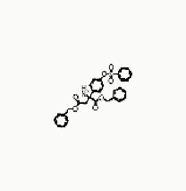 NC(CC(=O)OCc1ccccc1)(C(=O)OCc1ccccc1)c1ccc(OS(=O)(=O)c2ccccc2)cc1